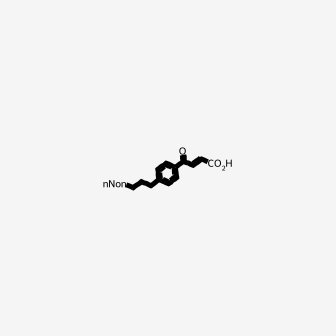 CCCCCCCCCCCCc1ccc(C(=O)C=CC(=O)O)cc1